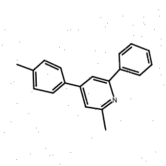 Cc1ccc(-c2cc(C)nc(-c3ccccc3)c2)cc1